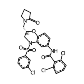 O=C(Nc1ccc2c(c1)N(S(=O)(=O)c1cccc(Cl)c1)C[C@H](CN1CCCC1=O)O2)c1c(Cl)cccc1Cl